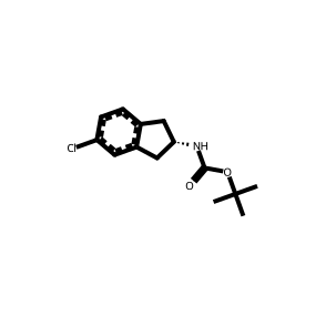 CC(C)(C)OC(=O)N[C@H]1Cc2ccc(Cl)cc2C1